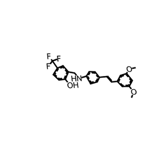 COc1cc(/C=C/c2ccc(NCc3cc(C(F)(F)F)ccc3O)cc2)cc(OC)c1